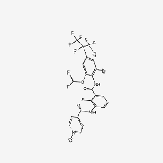 O=C(Nc1cccc(C(=O)Nc2c(Br)cc(C(F)(C(F)(F)F)C(F)(F)Cl)cc2OC(F)F)c1F)c1cc[n+]([O-])cc1